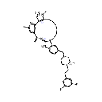 C=C1/N=C2\Nc3ccc(CN4CCN(CCc5cc(F)cc(F)c5)[C@@H](C)C4)cc3N2CCCCCC/C(NC)=C(/C=N)c2cc1cc(C)n2